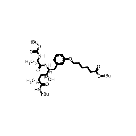 CCCCNC(=O)[C@H](C)C[C@H](O)[C@H](Cc1cccc(OCCCCCC(=O)OC(C)(C)C)c1)NC(=O)[C@H](C)NC(=O)OC(C)(C)C